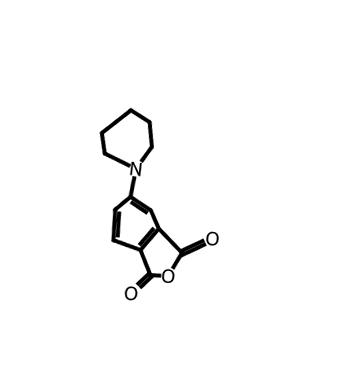 O=C1OC(=O)c2cc(N3CCCCC3)ccc21